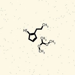 CCCC1=[C]([Hf])CC=C1.COC(C)OC